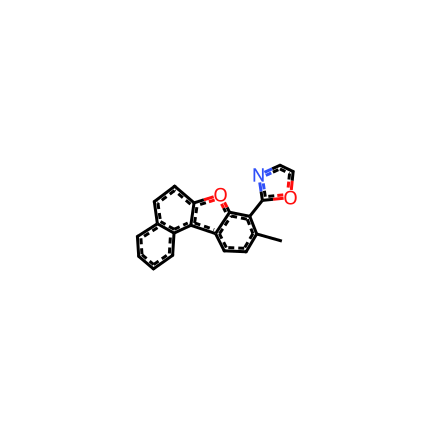 Cc1ccc2c(oc3ccc4ccccc4c32)c1-c1ncco1